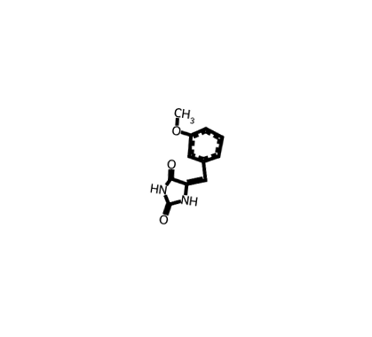 COc1cccc(C=C2NC(=O)NC2=O)c1